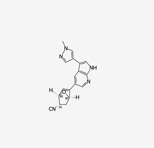 [C-]#[N+][C@H]1C[C@H]2O[C@@H]1C=C2c1cnc2[nH]cc(-c3cnn(C)c3)c2c1